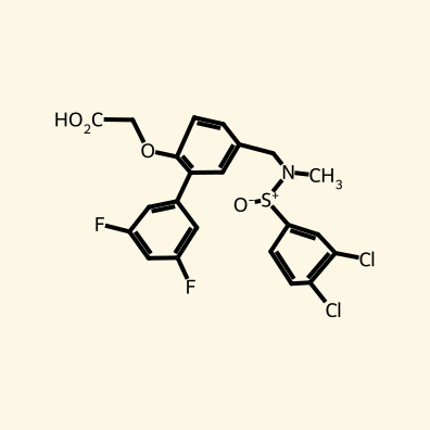 CN(Cc1ccc(OCC(=O)O)c(-c2cc(F)cc(F)c2)c1)[S+]([O-])c1ccc(Cl)c(Cl)c1